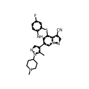 Cc1c(-c2cc(Sc3cc(F)ccc3N)c3c(C#N)cnn3c2)cnn1C1CCN(C)CC1